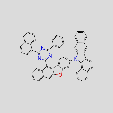 c1ccc(-c2nc(-c3cccc4ccccc34)nc(-c3c4ccccc4cc4oc5cc(-n6c7cc8ccccc8cc7c7ccc8ccccc8c76)ccc5c34)n2)cc1